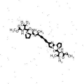 COC(=O)N[C@H](C(=O)N1CCC[C@H]1C1=NCC(C#CC#CC(C)/N=C(\N)[C@@H]2CCCN2C(=O)[C@@H](NC(=O)OC)C(C)C)=N1)C(C)C